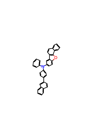 c1ccc(N(c2ccc(-c3ccc4ccccc4c3)cc2)c2ccc3oc4c5ccccc5ccc4c3c2)cc1